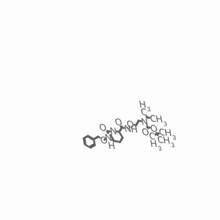 CC(C)N(CCONC(=O)C1CC[C@@H]2CN1C(=O)N2OCc1ccccc1)C(=O)OC(C)(C)C